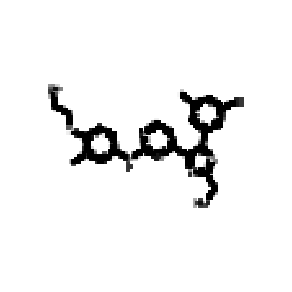 Cc1cc(Cl)cc(-c2nc(CO)sc2-c2ccnc(Nc3ccc(OCCO)c(C)c3)n2)c1